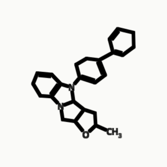 CC1CC2C(CN3C4=C(C=CCC4)N(C4=CC=C(C5=CCCC=C5)CC4)C23)O1